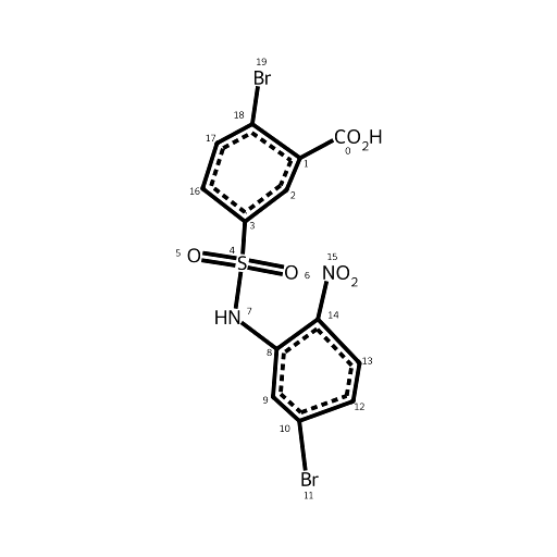 O=C(O)c1cc(S(=O)(=O)Nc2cc(Br)ccc2[N+](=O)[O-])ccc1Br